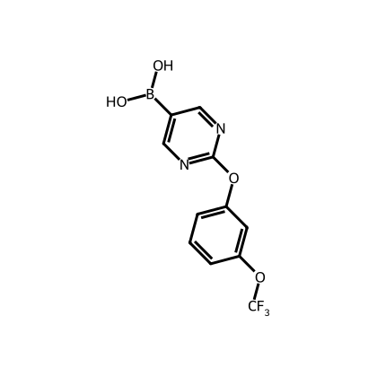 OB(O)c1cnc(Oc2cccc(OC(F)(F)F)c2)nc1